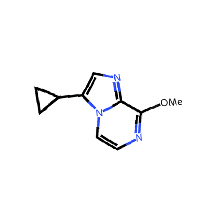 COc1nccn2c(C3CC3)cnc12